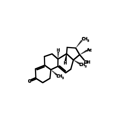 CC(=O)[C@@]1(O)[C@@H](C)C[C@H]2[C@@H]3CCC4=CC(=O)CC[C@]4(C)C3=CC[C@@]21C